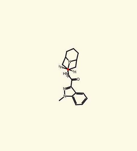 [2H]C([2H])([2H])N1C2CCCC1CC(NC(=O)c1nn(C)c3ccccc13)C2